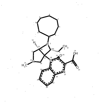 CC[C@H]1N(C2CCCCCCC2)[C@@H]2CN(C)CC12n1c(=O)c(C(=O)O)nc2ccccc21